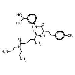 NCCN(CCN)C(=O)CCC(N)C(=O)NC(CCc1ccc(C(F)(F)F)cc1)C(=O)Nc1cccc(B(O)O)c1